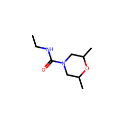 CCNC(=O)N1CC(C)OC(C)C1